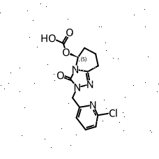 O=C(O)O[C@H]1CCCc2nn(Cc3cccc(Cl)n3)c(=O)n21